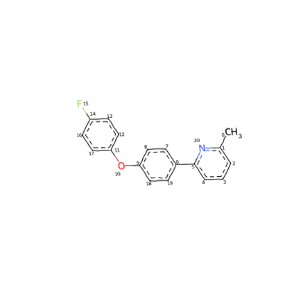 Cc1cccc(-c2ccc(Oc3ccc(F)cc3)cc2)n1